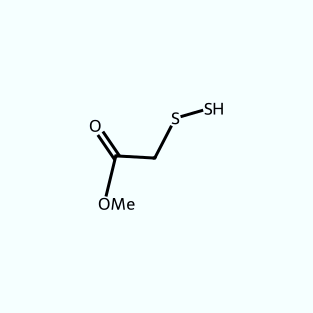 COC(=O)CSS